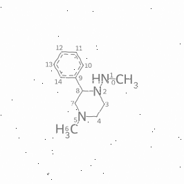 CNN1CCN(C)CC1c1ccccc1